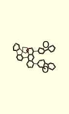 c1ccc2c(c1)-c1cccc(-c3c4cccc(-c5ccc6c(c5)oc5ccccc56)c4cc4c(-c5ccc6c(c5)oc5ccccc56)cccc34)c1C21CCCC1